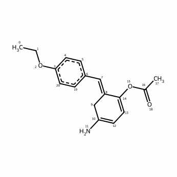 CCOc1ccc(C=C2CC(N)=CC=C2OC(C)=O)cc1